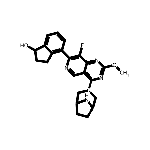 COc1nc(N2CC3CCC(C2)N3)c2cnc(-c3cccc4c3CCC4O)c(F)c2n1